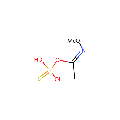 CON=C(C)OP(O)(O)=S